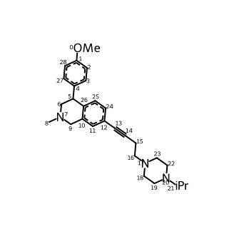 COc1ccc(C2CN(C)Cc3cc(C#CCCN4CCN(C(C)C)CC4)ccc32)cc1